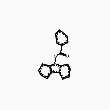 O=C(On1c2ccccc2c2ccccc21)c1ccccc1